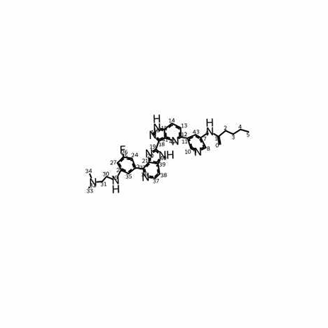 C=C(CCCC)Nc1cncc(-c2ccc3[nH]nc(-c4nc5c(-c6cc(F)cc(NCCN(C)C)c6)nccc5[nH]4)c3n2)c1